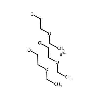 CCOCC[O-].CCOCC[O-].CCOCC[O-].[B+3]